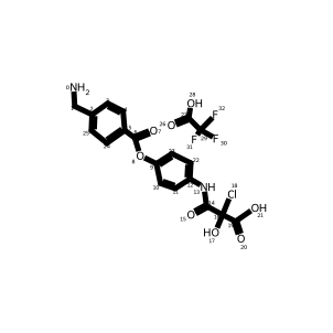 NCc1ccc(C(=O)Oc2ccc(NC(=O)C(O)(Cl)C(=O)O)cc2)cc1.O=C(O)C(F)(F)F